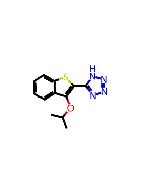 CC(C)Oc1c(-c2nnn[nH]2)sc2ccccc12